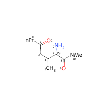 CCCC(=O)CC(C)[C@H](N)C(=O)NC